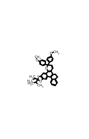 COc1ccc(C2(c3ccc(OC)cc3)C=Cc3c4c(c5cc6c(cc5c3O2)SC(C(C)C)(C(C)C)O6)-c2ccccc2CC4)cc1